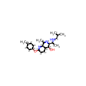 C=C(C)CNC(=C)c1nc(C)c2nc(Oc3ccc(C)cc3)ccc2c1O